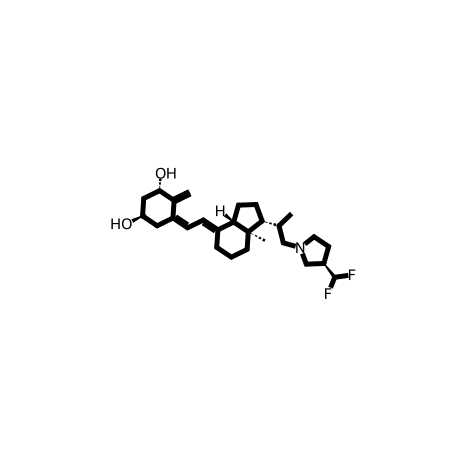 C=C1/C(=C\C=C2/CCC[C@]3(C)[C@@H](C(C)CN4CC[C@@H](C(F)F)C4)CC[C@@H]23)C[C@@H](O)C[C@@H]1O